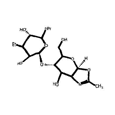 CCCC1O[C@@H](O[C@@H]2C(CO)O[C@H]3OC(C)=NC3C2O)C(O)C(CC)[C@@H]1O